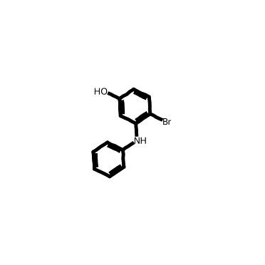 Oc1ccc(Br)c(Nc2ccccc2)c1